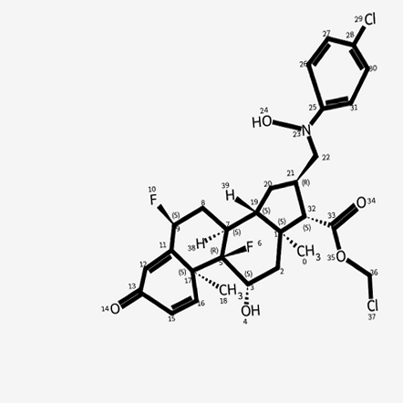 C[C@]12C[C@H](O)[C@@]3(F)[C@@H](C[C@H](F)C4=CC(=O)C=C[C@@]43C)[C@@H]1C[C@@H](CN(O)c1ccc(Cl)cc1)[C@@H]2C(=O)OCCl